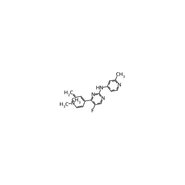 C=C/C=C(\C=C/N(C)C)c1nc(Nc2ccnc(C)c2)ncc1F